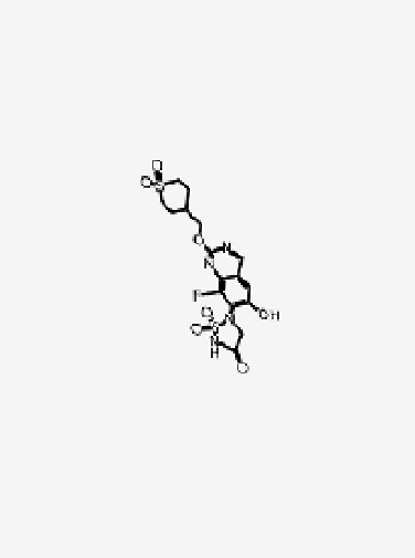 O=C1CN(c2c(O)cc3cnc(OCC4CCS(=O)(=O)CC4)nc3c2F)S(=O)(=O)N1